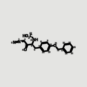 [N-]=[N+]=CC(=O)[C@H](Cc1ccc(OCc2ccccc2)cc1)NC(=O)O